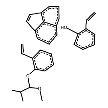 C1=Cc2cccc3cccc1c23.C=Cc1ccccc1O.C=Cc1ccccc1OC(OC)C(C)C